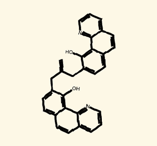 C=C(Cc1ccc2ccc3cccnc3c2c1O)Cc1ccc2ccc3cccnc3c2c1O